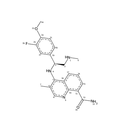 CNC[C@@H](Nc1c(C)cnc2c(C(N)=O)cccc12)c1ccc(OC)c(F)c1